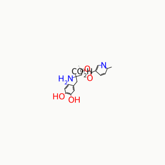 Cc1ccc(C(=O)O[C@@H](C)CC(N)(Cc2ccc(O)c(O)c2)C(=O)O)cn1